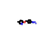 Cc1ccc(OCC23CCC(N)(CC2)CC3)nc1